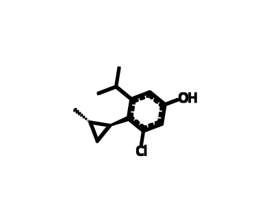 CC(C)c1cc(O)cc(Cl)c1[C@H]1C[C@@H]1C